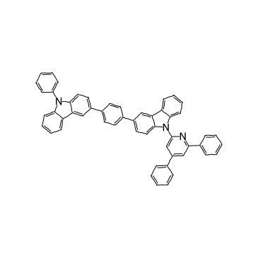 c1ccc(-c2cc(-c3ccccc3)nc(-n3c4ccccc4c4cc(-c5ccc(-c6ccc7c(c6)c6ccccc6n7-c6ccccc6)cc5)ccc43)c2)cc1